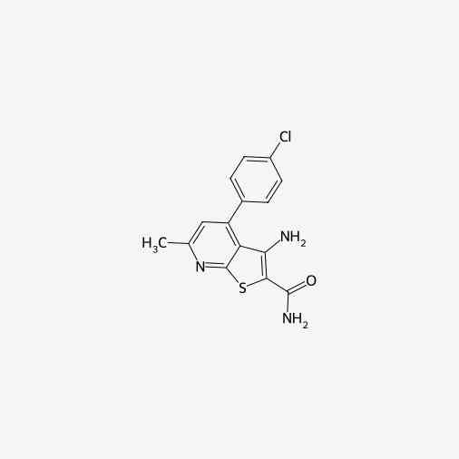 Cc1cc(-c2ccc(Cl)cc2)c2c(N)c(C(N)=O)sc2n1